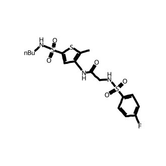 CCCCNS(=O)(=O)c1cc(NC(=O)CNS(=O)(=O)c2ccc(F)cc2)c(C)s1